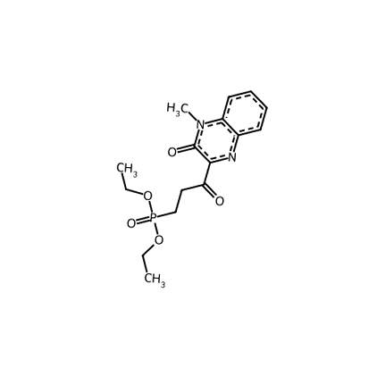 CCOP(=O)(CCC(=O)c1nc2ccccc2n(C)c1=O)OCC